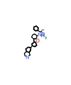 CC(NC1CCCc2c1oc1ccc(-c3ccc4c(c3)C=NCC4)cc21)c1ccccc1